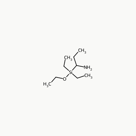 CCO[Si](CC)(CC)C(N)CC